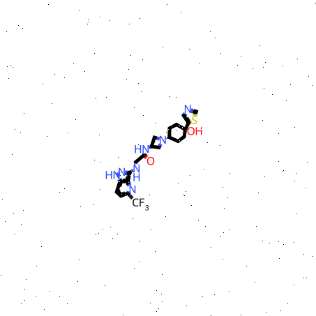 O=C(CNc1n[nH]c2ccc(C(F)(F)F)nc12)NC1CN([C@H]2CC[C@@](O)(c3cncs3)CC2)C1